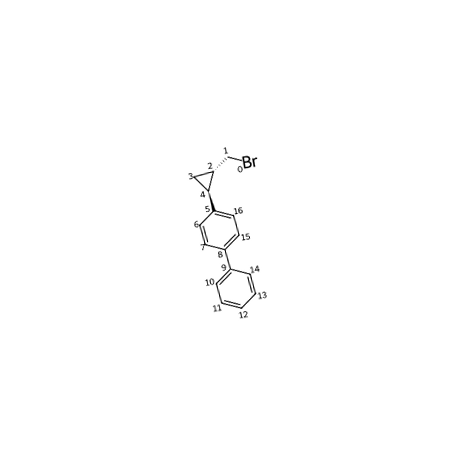 BrC[C@H]1C[C@@H]1c1ccc(-c2ccccc2)cc1